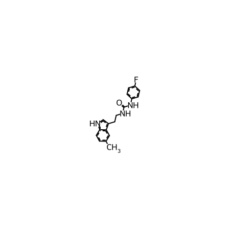 Cc1ccc2[nH]cc(CCNC(=O)Nc3ccc(F)cc3)c2c1